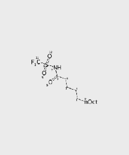 CCCCCCCCCCCCC(=O)NS(=O)(=O)C(F)(F)F